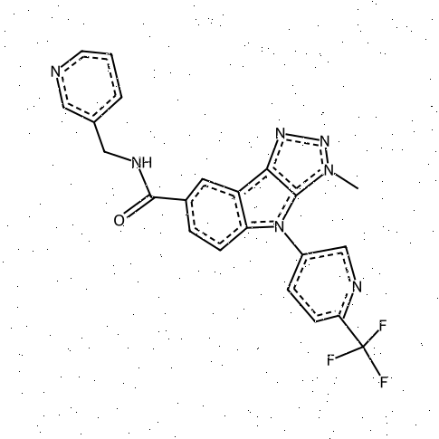 Cn1nnc2c3cc(C(=O)NCc4cccnc4)ccc3n(-c3ccc(C(F)(F)F)nc3)c21